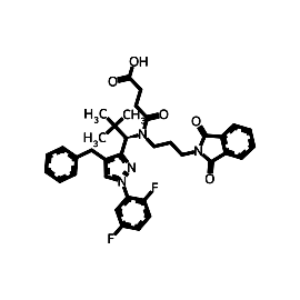 CC(C)(C)[C@H](c1nn(-c2cc(F)ccc2F)cc1Cc1ccccc1)N(CCCN1C(=O)c2ccccc2C1=O)C(=O)CCC(=O)O